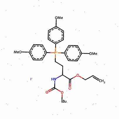 C=CCOC(=O)C(CC[P+](c1ccc(OC)cc1)(c1ccc(OC)cc1)c1ccc(OC)cc1)NC(=O)OC(C)(C)C.[I-]